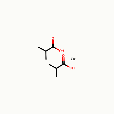 CC(C)C(=O)O.CC(C)C(=O)O.[Co]